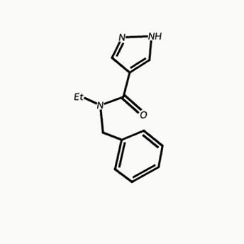 CCN(Cc1ccccc1)C(=O)c1cn[nH]c1